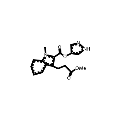 COC(=O)CCc1c(C(=O)Oc2cn[nH]c2)n(C)c2ccccc12